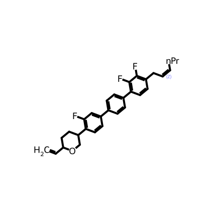 C=CC1CCC(c2ccc(-c3ccc(-c4ccc(C/C=C\CCC)c(F)c4F)cc3)cc2F)CO1